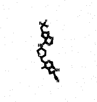 Cc1c(CN2CCC(Nc3ncnc4sc(CC(F)(F)F)cc34)CC2)ncc2[nH]c(C#N)cc12